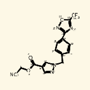 N#CCOC(=O)c1cnn(Cc2ccc(-c3noc(C(F)(F)F)n3)cc2)c1